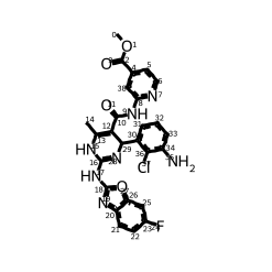 COC(=O)c1ccnc(NC(=O)C2=C(C)NC(Nc3nc4ccc(F)cc4o3)=NC2c2cccc(N)c2Cl)c1